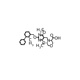 COc1nc(OCc2cccc(-c3ccccc3)c2C)nc(OC)c1CN1CCOCC1C(=O)O